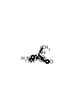 COCCNCC1CN(S(=O)(=O)c2cc3ccc(Cl)cc3s2)CC(=O)N1Cc1ccc2c(N)ncnc2c1